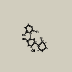 Oc1cc(O)c(-c2c(F)cccc2Cl)cc1-c1ccccc1F